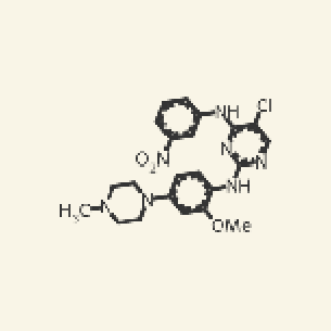 COc1cc(N2CCN(C)CC2)ccc1Nc1ncc(Cl)c(Nc2cccc([N+](=O)[O-])c2)n1